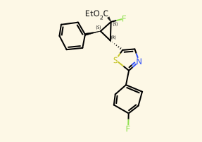 CCOC(=O)[C@]1(F)[C@H](c2ccccc2)[C@H]1c1cnc(-c2ccc(F)cc2)s1